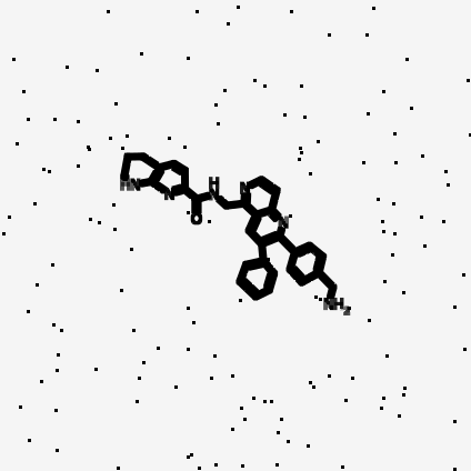 NCc1ccc(-c2nc3ccnc(CNC(=O)c4ccc5c(n4)NCCC5)c3cc2-c2ccccc2)cc1